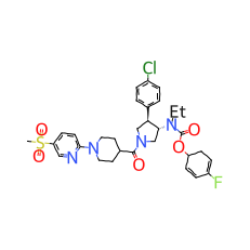 CCN(C(=O)OC1C=CC(F)=CC1)[C@@H]1CN(C(=O)C2CCN(c3ccc(S(C)(=O)=O)cn3)CC2)C[C@H]1c1ccc(Cl)cc1